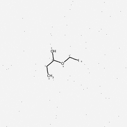 CCC(O)OCI